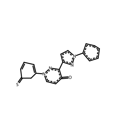 O=c1ccn(C2=CC=CC(=S)C2)nc1-c1ccn(-c2ccccc2)n1